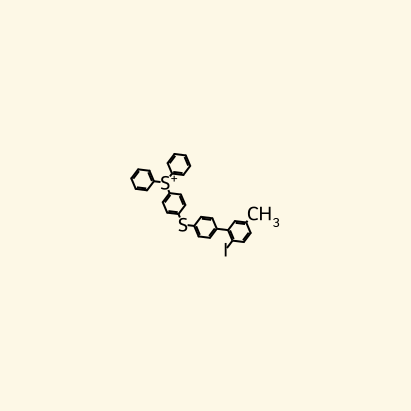 Cc1ccc(I)c(-c2ccc(Sc3ccc([S+](c4ccccc4)c4ccccc4)cc3)cc2)c1